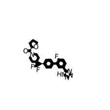 O=C([C@H]1CCCO1)N1CCC2(CC1)[C@@H](c1ccc(-c3cc(-c4nnn[nH]4)ccc3F)cc1)C2(F)F